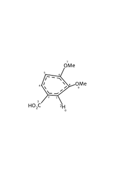 [2H]c1c(C(=O)O)ccc(OC)c1OC